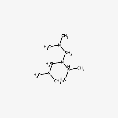 CN(C)[SiH2]N([SiH2]N(C)C)[SiH](C)C